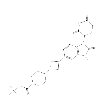 Cn1c(=O)n(C2CCC(=O)NC2=O)c2ccc(C3CN(C4CCN(C(=O)OC(C)(C)C)CC4)C3)cc21